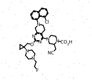 N#CCC1CN(c2nc(OCC3(N4CCN(CCF)CC4)CC3)nc3c2CCN(c2cccc4cccc(Cl)c24)C3)CCN1C(=O)O